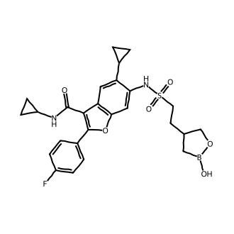 O=C(NC1CC1)c1c(-c2ccc(F)cc2)oc2cc(NS(=O)(=O)CCC3COB(O)C3)c(C3CC3)cc12